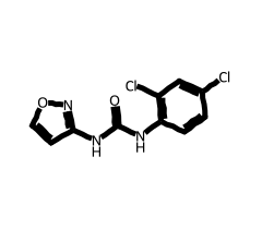 O=C(Nc1ccon1)Nc1ccc(Cl)cc1Cl